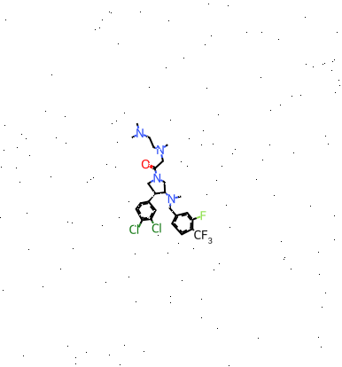 CN(C)CCN(C)CC(=O)N1C[C@H](c2ccc(Cl)c(Cl)c2)[C@H](N(C)Cc2ccc(C(F)(F)F)c(F)c2)C1